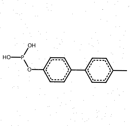 Cc1ccc(-c2ccc(OP(O)O)cc2)cc1